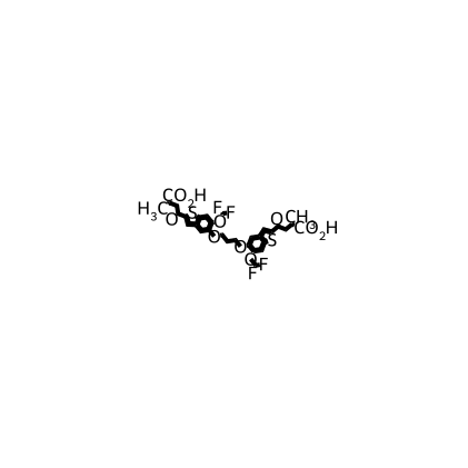 CC(CC(=O)c1cc2cc(OCCCOc3cc4cc(C(=O)CC(C)C(=O)O)sc4cc3OC(F)F)c(OC(F)F)cc2s1)C(=O)O